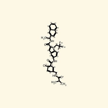 CC(C)C(=O)NCc1ccc(Cl)c(C(=O)Nc2ccc3c(c2)cc(C(=O)NC(C)c2ccc4ccccc4c2)n3CC(F)(F)F)c1